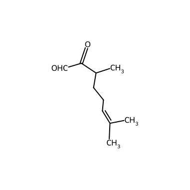 CC(C)=CCCC(C)C(=O)C=O